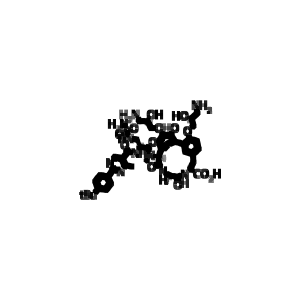 Cc1nc(-c2ccc(C(C)(C)C)cc2)ncc1C(=O)N[C@@H](CNS(N)(=O)=O)C(=O)N(C)[C@@H]1C(=O)N[C@@H](C)C(=O)N[C@H](C(=O)O)Cc2ccc(OC[C@H](O)CN)c(c2)-c2cc1cc(OC[C@H](O)CN)c2O